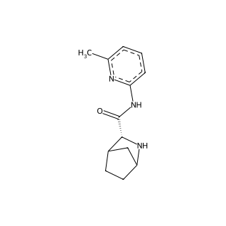 Cc1cccc(NC(=O)[C@@H]2NC3CCC2C3)n1